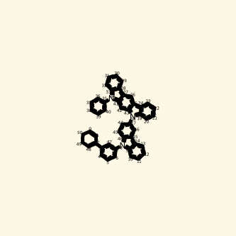 C1=CC(c2cccc(-n3c4ccccc4c4cc(-n5c6ccccc6c6cc7c8ccccc8n(-c8ccccc8)c7cc65)ccc43)c2)=CCC1